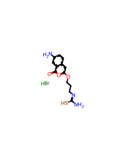 Br.NC(S)=NCCCOc1cc2ccc(N)cc2c(=O)o1